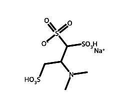 CN(C)C(CS(=O)(=O)O)C(S(=O)(=O)[O-])S(=O)(=O)O.[Na+]